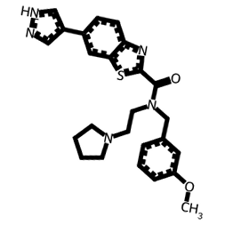 COc1cccc(CN(CCN2CCCC2)C(=O)c2nc3ccc(-c4cn[nH]c4)cc3s2)c1